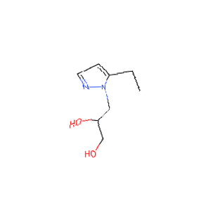 CCc1ccnn1CC(O)CO